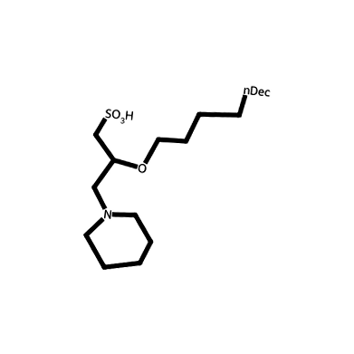 CCCCCCCCCCCCCCOC(CN1CCCCC1)CS(=O)(=O)O